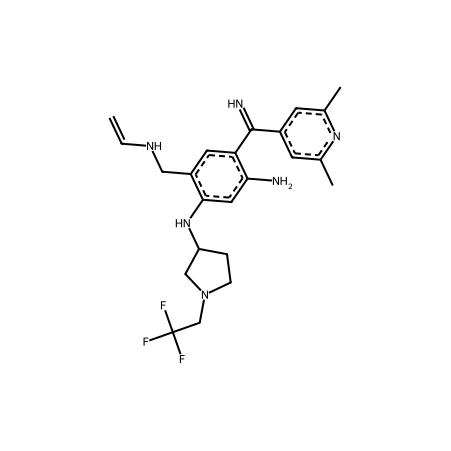 C=CNCc1cc(C(=N)c2cc(C)nc(C)c2)c(N)cc1NC1CCN(CC(F)(F)F)C1